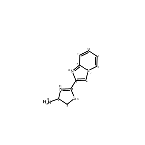 NC1CSC(c2cn3ccccc3n2)=N1